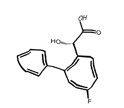 O=C(O)[C@@H](O)c1ccc(F)cc1-c1ccccc1